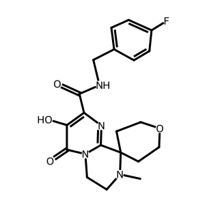 CN1CCn2c(nc(C(=O)NCc3ccc(F)cc3)c(O)c2=O)C12CCOCC2